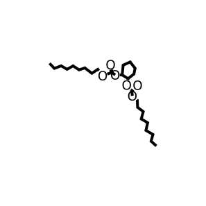 CCCCCCCCCOC(=O)OC1CCCCC1OC(=O)OCCCCCCCCC